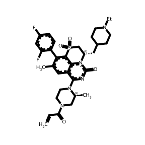 C=CC(=O)N1CCN(c2nc(=O)n3c4c(c(-c5ccc(F)cc5F)c(C)cc24)S(=O)(=O)C[C@@H]3CC2CCN(CC)CC2)[C@@H](C)C1